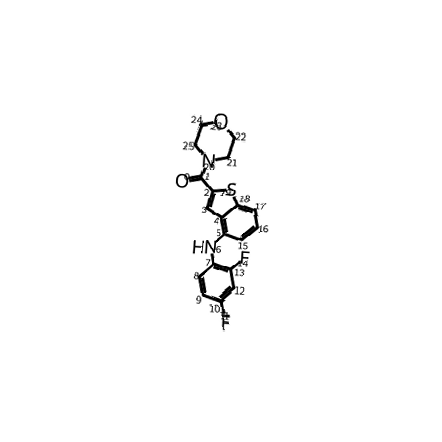 O=C(c1cc2c(Nc3ccc(F)cc3F)cccc2s1)N1CCOCC1